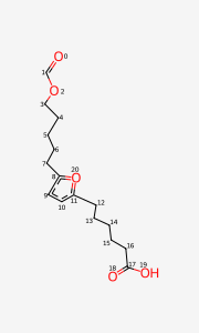 O=COCCCCCc1ccc(CCCCCC(=O)O)o1